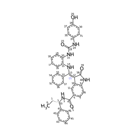 CC[C@H](NC(=O)c1ccc2c(c1)/C(=C(/Nc1ccccc1NC(=O)Nc1ccc(O)cc1)c1ccccc1)C(=O)N2)c1ccccc1